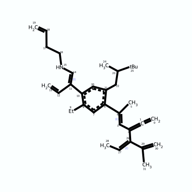 C=C=C(/C=C(\C)c1cc(CC)c(/C(C=C)=C/NCCC=C)cc1CC(C)C(C)(C)C)/C(=C\C)C(=C)C